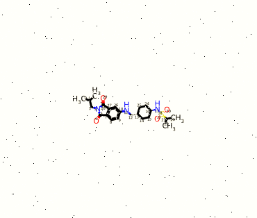 CC(C)CN1C(=O)c2ccc(NC[C@H]3CC[C@H](NS(=O)(=O)C(C)C)CC3)cc2C1=O